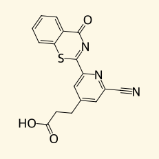 N#Cc1cc(CCC(=O)O)cc(-c2nc(=O)c3ccccc3s2)n1